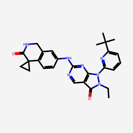 CCn1c(=O)c2cnc(Nc3ccc4c(c3)CNC(=O)C43CC3)nc2n1-c1cccc(C(C)(C)C)n1